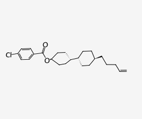 C=CCCC[C@H]1CC[C@H]([C@H]2CC[C@H](OC(=O)c3ccc(Cl)cc3)CC2)CC1